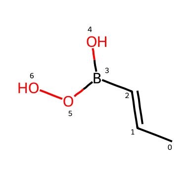 C/C=C/B(O)OO